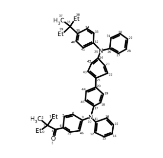 CCC(C)(CC)C(=O)c1ccc(N(c2ccccc2)c2ccc(-c3ccc(N(c4ccccc4)c4ccc(C(C)(CC)CC)cc4)cc3)cc2)cc1